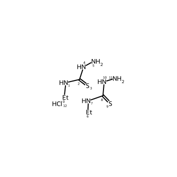 CCNC(=S)NN.CCNC(=S)NN.Cl